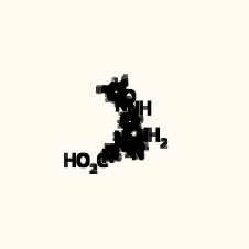 Cc1cc(C)c2oc(Nc3ccc(-c4nn(C5CN(C(=O)O)C5)c5cncc(N)c45)cc3)nc2c1